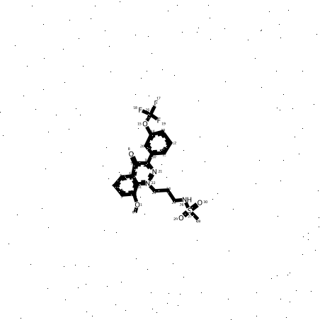 COc1cccc2c(=O)c(-c3cccc(OC(F)(F)F)c3)nn(CCCNS(C)(=O)=O)c12